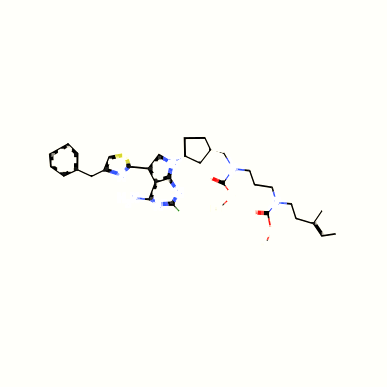 C/C=C(\C)CCN(CCCN(C[C@@H]1CC[C@H](n2cc(-c3nc(Cc4ccccc4)cs3)c3c(N)nc(Cl)nc32)C1)C(=O)OC(C)(C)C)C(=O)OC(C)(C)C